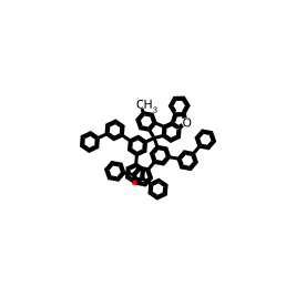 Cc1ccc2c(c1)-c1c(ccc3oc4ccccc4c13)C2(c1cc(-c2cccc(-c3ccccc3)c2)cc(-c2cccc(-c3ccccc3)c2)c1)c1cc(-c2cccc(-c3ccccc3)c2)cc(-c2cccc(-c3ccccc3)c2)c1